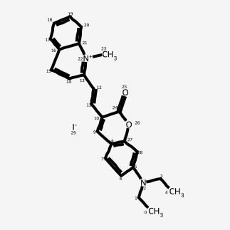 CCN(CC)c1ccc2cc(/C=C/c3ccc4ccccc4[n+]3C)c(=O)oc2c1.[I-]